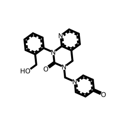 O=C1N(Cn2ccc(=O)cc2)Cc2cccnc2N1c1ccccc1CO